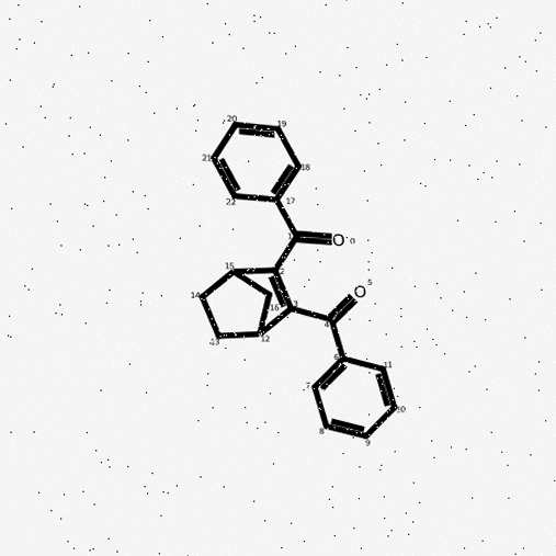 O=C(C1=C(C(=O)c2ccccc2)C2CCC1C2)c1ccccc1